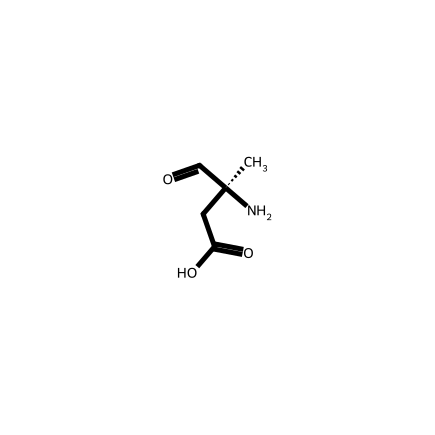 C[C@@](N)(C=O)CC(=O)O